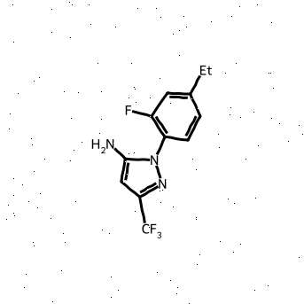 CCc1ccc(-n2nc(C(F)(F)F)cc2N)c(F)c1